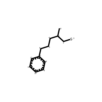 CC(C[S])CCCc1ccccc1